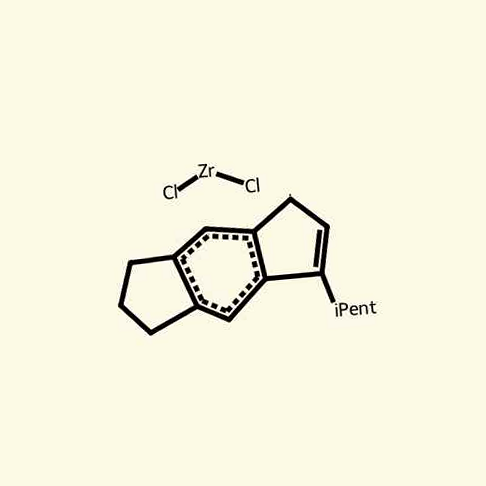 CCCC(C)C1=C[CH]c2cc3c(cc21)CCC3.[Cl][Zr][Cl]